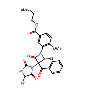 CCCCCCCCCCCCOC(=O)c1ccc(OC)c(N2C(=O)C(C(=O)c3ccccc3)(N3C(=O)N[C@H](Br)C3=O)C2CC)c1